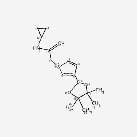 CC1(C)OB(C2=C[SH](CC(=O)NC3CC3)C=C2)OC1(C)C